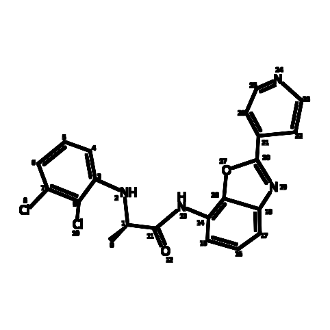 C[C@@H](Nc1cccc(Cl)c1Cl)C(=O)Nc1cccc2nc(-c3ccncc3)oc12